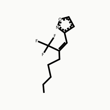 CCCCCC(=Cc1ccon1)C(F)(F)F